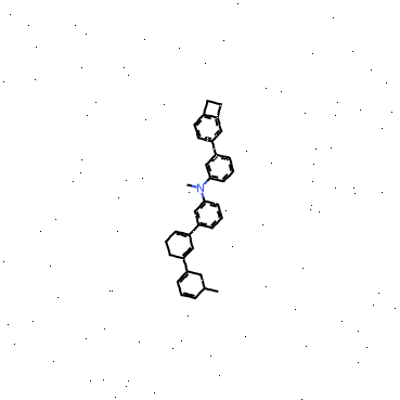 CC1C=CC=C(C2=CC(c3cccc(N(C)c4cccc(-c5ccc6c(c5)CC6)c4)c3)=CCC2)C1